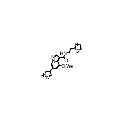 COc1cc(-c2cnn(C)c2)cn2ncc(C(=O)NCCc3nccs3)c12